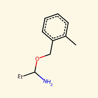 CCC(N)OCc1ccccc1C